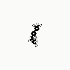 COC(=O)c1ccc(-c2ccc([C@H](C)[C@](O)(c3ccc(OC)nc3)C(F)(F)F)c(Cl)c2)cc1Cl